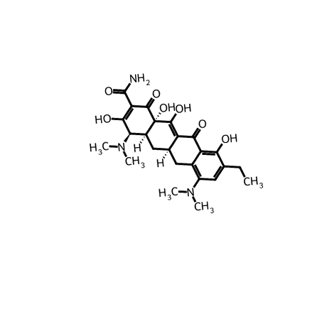 CCc1cc(N(C)C)c2c(c1O)C(=O)C1=C(O)[C@]3(O)C(=O)C(C(N)=O)=C(O)[C@H](N(C)C)[C@@H]3C[C@@H]1C2